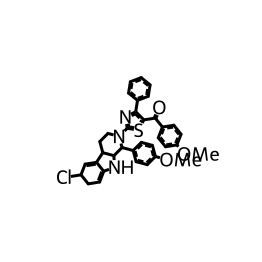 COc1ccc(C(=O)c2sc(N3CCC4C5=CC(Cl)CC=C5NC4C3c3ccc(OC)cc3)nc2-c2ccccc2)cc1